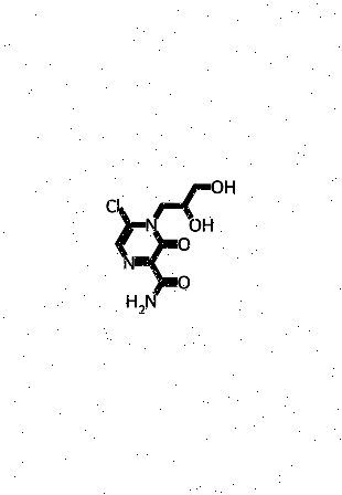 NC(=O)c1ncc(Cl)n(CC(O)CO)c1=O